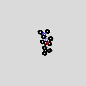 c1ccc(-c2ccccc2N(c2ccc3c4ccccc4n(-c4ccccc4)c3c2)c2ccc(-c3ccc4c(c3)C3(CC5CCC3C5)c3ccccc3-4)c3ccccc23)cc1